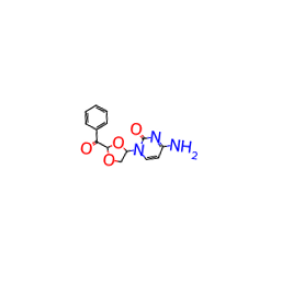 Nc1ccn(C2COC(C(=O)c3ccccc3)O2)c(=O)n1